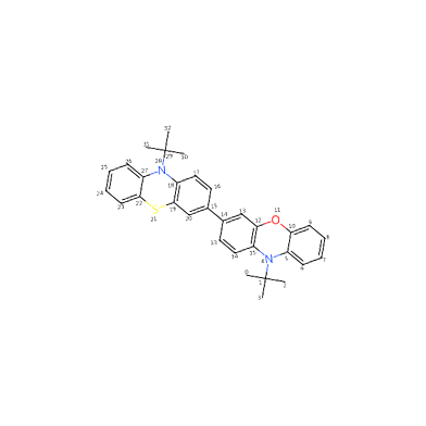 CC(C)(C)N1c2ccccc2Oc2cc(-c3ccc4c(c3)Sc3ccccc3N4C(C)(C)C)ccc21